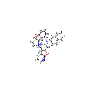 c1ccc2cc(N(c3ccc4c(c3)oc3ncccc34)c3cccc4oc5cccnc5c34)ccc2c1